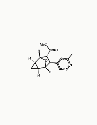 COC(=O)[C@H]1[C@@H]2O[C@@H]([C@H]3C[C@H]32)[C@@H]1c1ccnc(C)c1